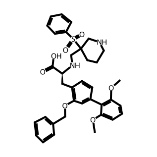 COc1cccc(OC)c1-c1ccc(C[C@H](NCC2(S(=O)(=O)c3ccccc3)CCCNC2)C(=O)O)c(OCc2ccccc2)c1